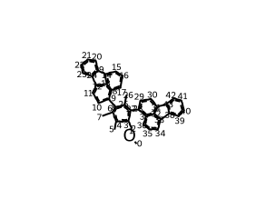 COCc1c(C)c(C)c(-c2ccc3c4c(cccc24)-c2ccccc2-3)c(C)c1-c1ccc2c3c(cccc13)-c1ccccc1-2